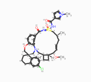 CO[C@H]1/C=C/C[C@H](C)CS(=O)(NC(=O)c2ccn(C)c2)=NC(=O)c2ccc3c(c2)N(C[C@@H]2CC[C@H]21)C[C@@]1(CCCc2cc(Cl)ccc21)CO3